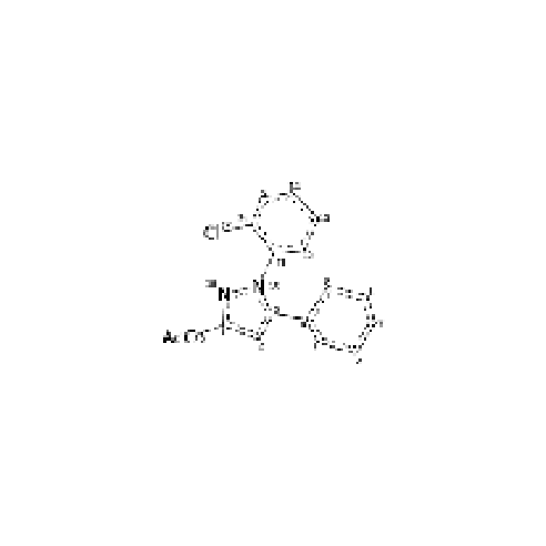 CC(=O)Oc1cc(-c2ccccc2)n(-c2ccccc2Cl)n1